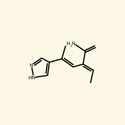 C=C(N)C(=C/C)/C=C(\C)c1cn[nH]c1